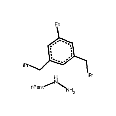 CCCCCNN.CCc1cc(CC(C)C)cc(CC(C)C)c1